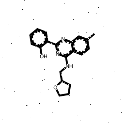 Cc1ccc2c(NCC3CCCO3)nc(-c3ccccc3O)nc2c1